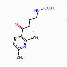 Cc1ccc(C(=O)CCCNC(=O)O)c(C)n1